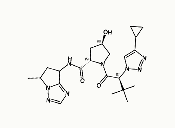 CC1CC(NC(=O)[C@@H]2C[C@@H](O)CN2C(=O)[C@@H](n2cc(C3CC3)nn2)C(C)(C)C)c2ncnn21